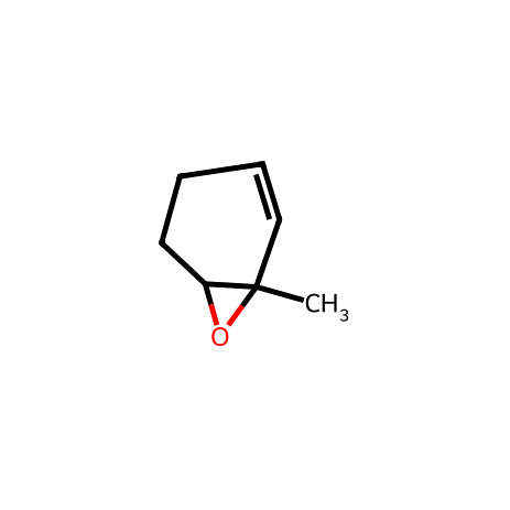 CC12C=CCCC1O2